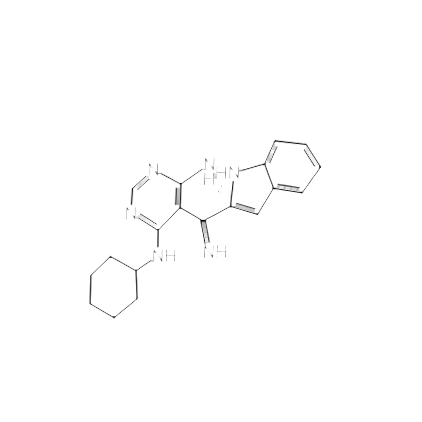 N=C(c1cc2ccccc2[nH]1)c1c(N)ncnc1NC1CCCCC1